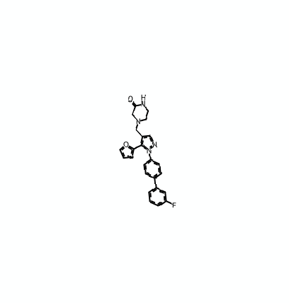 O=C1CN(Cc2cnn(-c3ccc(-c4cccc(F)c4)cc3)c2-c2ccco2)CCN1